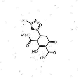 CCCC(=O)C1=C(O)C(C(=O)OC)C(c2cc(C(C)C)no2)CC1=O